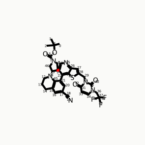 CC(C)(C)OC(=O)N1CC[C@H](N2CCCc3cc(C#N)cc(-c4ccnc5cc(Cn6c(=O)ccn(CC(F)(F)F)c6=O)sc45)c32)C1